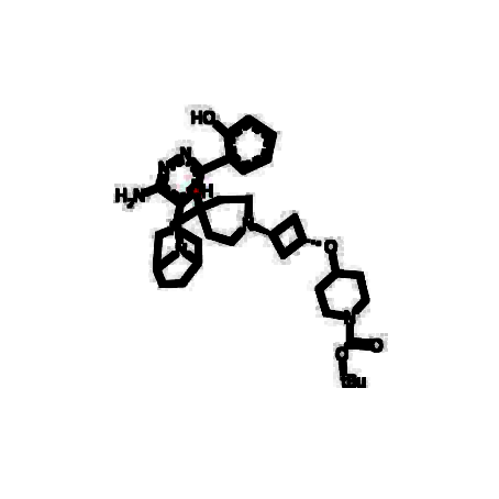 CC(C)(C)OC(=O)N1CCC(O[C@H]2C[C@H](N3CCC(O)(CN4C5CCC4CN(c4cc(-c6ccccc6O)nnc4N)C5)CC3)C2)CC1